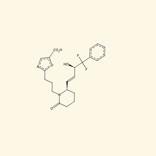 O=C(O)c1cnc(CCCN2C(=O)CCC[C@@H]2C=C[C@@H](O)C(F)(F)c2ccccc2)o1